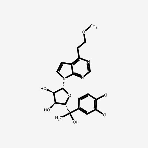 COCCc1ncnc2c1ccn2[C@@H]1O[C@H](C(C)(O)c2ccc(Cl)c(Cl)c2)[C@@H](O)[C@H]1O